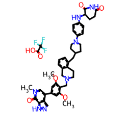 COc1cc(-c2cn(C)c(=O)c3[nH]ncc23)cc(OC)c1CN1CCc2c(CC3CCN(c4ccc(NC5CCC(=O)NC5=O)cc4)CC3)cccc2C1.O=C(O)C(F)(F)F